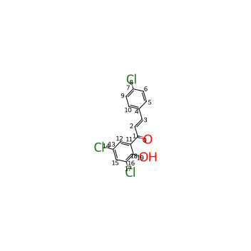 O=C(/C=C/c1ccc(Cl)cc1)c1cc(Cl)cc(Cl)c1O